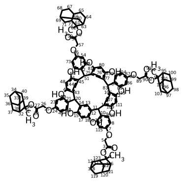 CC1(OC(=O)COc2ccc(C3c4cc(c(O)cc4O)C(c4ccc(OCC(=O)OC5(C)C6CC7CC(C6)CC5C7)cc4)c4cc(c(O)cc4O)C(c4ccc(OCC(=O)OC5(C)C6CCC7CCC(C6)CC75)cc4)c4cc(c(O)cc4O)C(c4ccc(OCC(=O)OC5(C)C6CC7CC(C6)CC5C7)cc4)c4cc3c(O)cc4O)cc2)C2CC3CC(C2)CC1C3